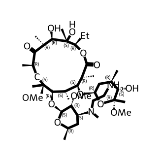 CC[C@H]1OC(=O)[C@H](C)[C@@H](O[C@H]2C[C@@H](C)[C@H](O)[C@](C)(OC)O2)[C@H](C)[C@@H](O[C@@H]2O[C@H](C)C[C@H](N(C)CCN)[C@H]2OC)[C@@](C)(OC)C[C@@H](C)C(=O)[C@H](C)[C@@H](O)[C@]1(C)O